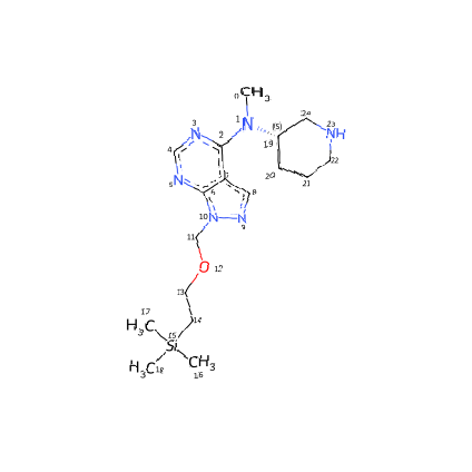 CN(c1ncnc2c1cnn2COCC[Si](C)(C)C)[C@H]1CCCNC1